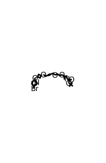 CC(C)(C)OC(=O)N1CC(OCCOCC#CCO[C@H]2C[C@H](Oc3ccc(Br)cn3)C2)C1